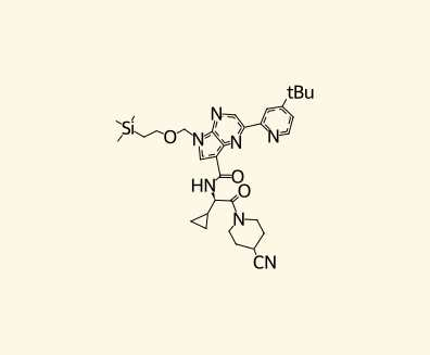 CC(C)(C)c1ccnc(-c2cnc3c(n2)c(C(=O)N[C@@H](C(=O)N2CCC(C#N)CC2)C2CC2)cn3COCC[Si](C)(C)C)c1